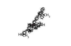 CC(C)c1ccccc1[C@@H]1C[C@H](N2CCOCC2)CCN1C1CC2(CCN(c3ccc(C(=O)NS(=O)(=O)c4ccc(NCC5CCC(C)(O)CC5)c([N+](=O)[O-])c4)c(N4c5cc6cc[nH]c6nc5O[C@H]5COCC[C@@H]54)c3)CC2)C1